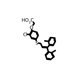 Cc1ccccc1C(=CCSc1ccc(OCC(=O)O)c(Cl)c1)c1ccccc1C